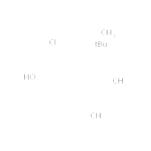 C.Cc1cc(O)c(Cl)c(C(C)(C)C)c1C